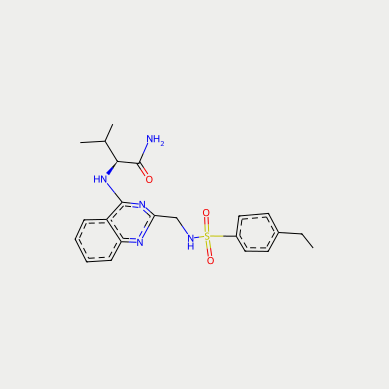 CCc1ccc(S(=O)(=O)NCc2nc(N[C@H](C(N)=O)C(C)C)c3ccccc3n2)cc1